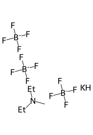 CCN(C)CC.F[B-](F)(F)F.F[B-](F)(F)F.F[B-](F)(F)F.[KH]